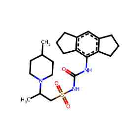 CC1CCN(C(C)CS(=O)(=O)NC(=O)Nc2c3c(cc4c2CCC4)CCC3)CC1